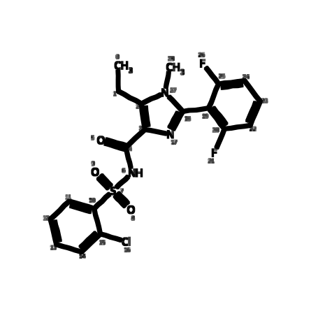 CCc1c(C(=O)NS(=O)(=O)c2ccccc2Cl)nc(-c2c(F)cccc2F)n1C